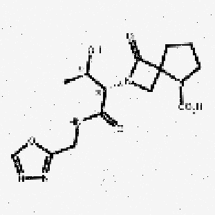 C[C@@H](O)[C@@H](C(=O)NCc1nnco1)N1CC2(CCCN2C(=O)O)C1=O